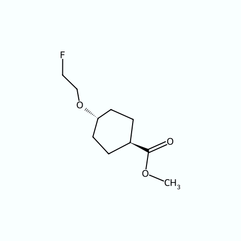 COC(=O)[C@H]1CC[C@H](OCCF)CC1